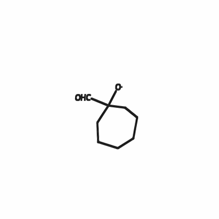 [O]C1(C=O)CCCCCC1